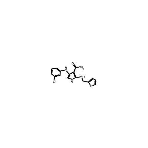 NC(=O)c1c(Nc2cccc(Cl)c2)n[nH]c1NCc1ccco1